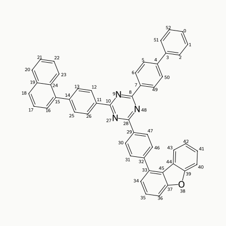 c1ccc(-c2ccc(-c3nc(-c4ccc(-c5cccc6ccccc56)cc4)nc(-c4ccc(-c5cccc6oc7ccccc7c56)cc4)n3)cc2)cc1